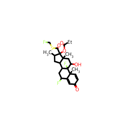 CCC(=O)OC1(C(=O)SCF)C(C)CC2C3CC(F)C4=CC(=O)C=CC4(C)C3(F)C(O)CC21C